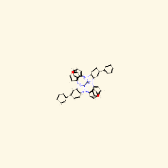 c1ccc(-c2ccc3c(c2)N(c2ccccc2)/C(=C2\N(c4ccccc4)c4ccc(-c5ccccc5)cc4N2c2ccccc2)N3c2ccccc2)cc1